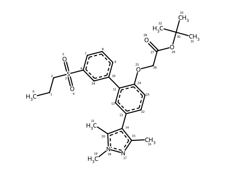 CCCS(=O)(=O)c1cccc(-c2cc(-c3c(C)nn(C)c3C)ccc2OCC(=O)OC(C)(C)C)c1